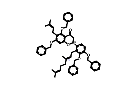 CC(C)=CCC/C(C)=C/Cc1c([C@@H]2CC(=O)c3c(cc(OCc4ccccc4)c(CC=C(C)C)c3OCc3ccccc3)O2)ccc(OCc2ccccc2)c1OCc1ccccc1